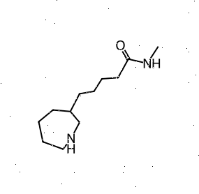 CNC(=O)CCCCC1CCCCNC1